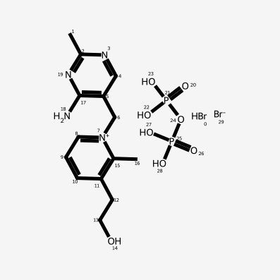 Br.Cc1ncc(C[n+]2cccc(CCO)c2C)c(N)n1.O=P(O)(O)OP(=O)(O)O.[Br-]